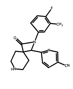 Cc1cc(N2C(=O)C3(CCNCC3)C2c2ccc(C#N)cn2)ccc1F